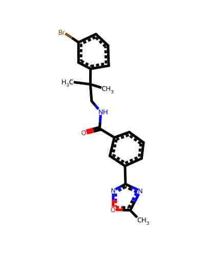 Cc1nc(-c2cccc(C(=O)NCC(C)(C)c3cccc(Br)c3)c2)no1